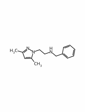 Cc1cc(C)n(CCNCc2ccccc2)n1